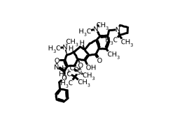 Cc1cc(CN2CCCC2(C)C)c(N(C)C)c2c1C(=O)C1=C(O)[C@]3(O[Si](C)(C)C(C)(C)C)C(=O)c4c(OCc5ccccc5)noc4[C@@H](N(C)C)[C@@H]3C[C@@H]1C2